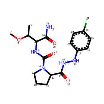 COC(C)C(NC(=O)N1CCCC1C(=O)NNc1ccc(F)cc1)C(N)=O